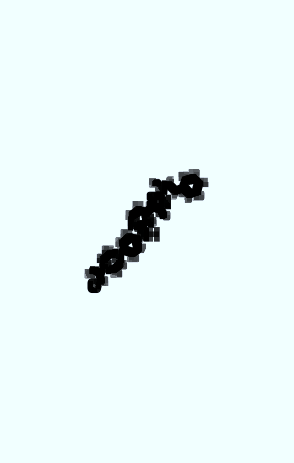 Cc1nc(N(C)CCc2ccccc2)sc1-c1ccnc(Nc2ccc(N3CCN(C(C)C=O)CC3)cc2)n1